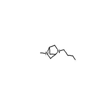 CCCCN1CC2CC1CN2C